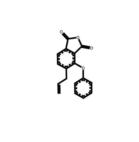 C=CCc1ccc2c(c1Oc1ccccc1)C(=O)OC2=O